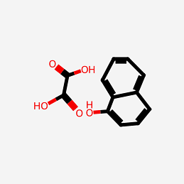 O=C(O)C(=O)O.Oc1cccc2ccccc12